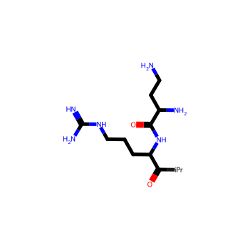 CC(C)C(=O)C(CCCNC(=N)N)NC(=O)C(N)CCN